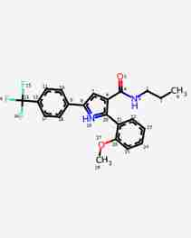 CCCNC(=O)c1cc(-c2ccc(C(F)(F)F)cc2)[nH]c1-c1ccccc1OC